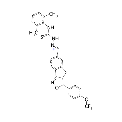 Cc1cccc(C)c1NC(=S)N/N=C/c1ccc2c(c1)CC1C2=NOC1c1ccc(OC(F)(F)F)cc1